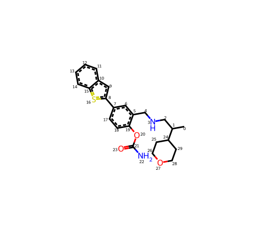 CC(CNCc1cc(-c2cc3ccccc3s2)ccc1OC(N)=O)C1CCOCC1